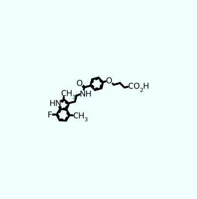 Cc1[nH]c2c(F)ccc(C)c2c1CCNC(=O)c1ccc(OCCCC(=O)O)cc1